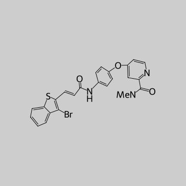 CNC(=O)c1cc(Oc2ccc(NC(=O)/C=C/c3sc4ccccc4c3Br)cc2)ccn1